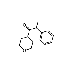 [CH2]C(C(=O)N1CCOCC1)c1ccccc1